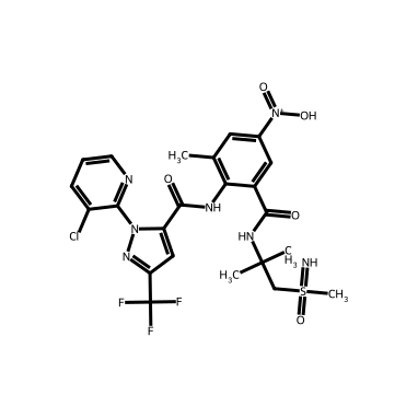 Cc1cc([N+](=O)O)cc(C(=O)NC(C)(C)CS(C)(=N)=O)c1NC(=O)c1cc(C(F)(F)F)nn1-c1ncccc1Cl